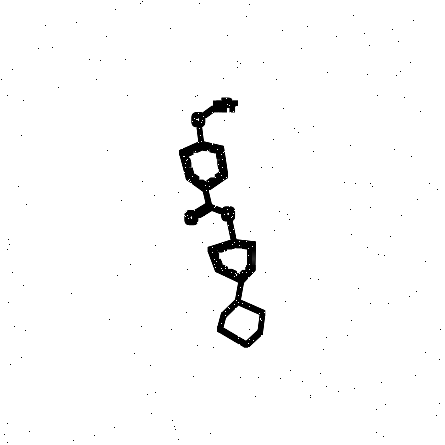 CCCOc1ccc(C(=O)Oc2ccc(C3CCCCC3)cc2)cc1